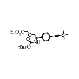 CCOC(=O)COC[C@H](NC(=O)OC(C)(C)C)c1ccc(C#C[Si](C)(C)C)cc1